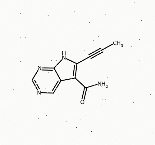 CC#Cc1[nH]c2ncncc2c1C(N)=O